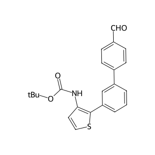 CC(C)(C)OC(=O)Nc1ccsc1-c1cccc(-c2ccc(C=O)cc2)c1